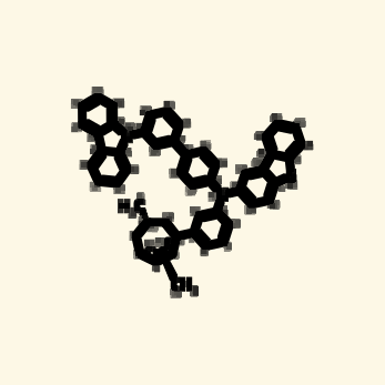 C[C@H]1CC2CCC(c3cccc(N(c4ccc(-c5cccc(-n6c7ccccc7c7ccccc76)c5)cc4)c4ccc5sc6ccccc6c5c4)c3)(C1)C[C@@H](C)C2